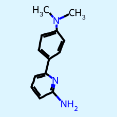 CN(C)c1ccc(-c2cccc(N)n2)cc1